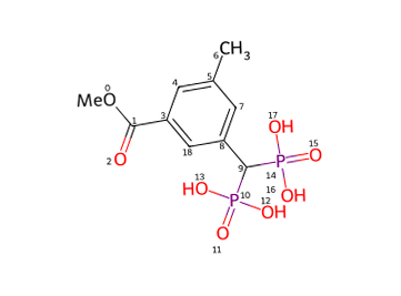 COC(=O)c1cc(C)cc(C(P(=O)(O)O)P(=O)(O)O)c1